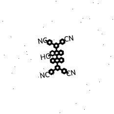 N#Cc1ccc(-c2cc(-c3ccc(C#N)cc3)cc(-c3c4c(c(-c5c6ccccc6c(-c6cc(-c7ccc(C#N)cc7)cc(-c7ccc(C#N)cc7)c6)c6ccccc56)c5ccccc35)CC(O)CC4)c2)cc1